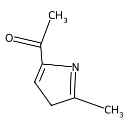 CC(=O)C1=CCC(C)=N1